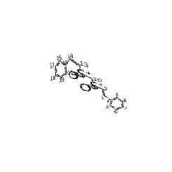 [O-][S+](C=Cc1ccccc1)C[S+]([O-])/C=C\c1ccccc1